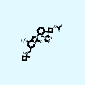 Cn1cnnc1[C@]1(c2cccc(-n3cc4c(C(F)(F)F)cc(CNC5(C)CCC5)cn4c3=O)c2)C[C@H](OC(F)F)C1